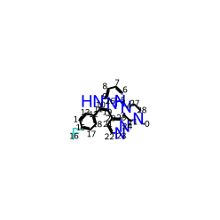 CN1CCN(N2C=CC=C3NC(c4ccc(F)cc4)=C(c4ccnnc4)N32)CC1